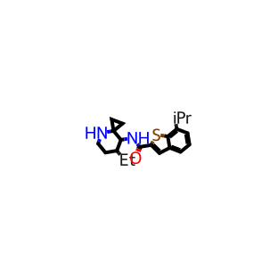 CCC1CCNC2(CC2)C1NC(=O)c1cc2cccc(C(C)C)c2s1